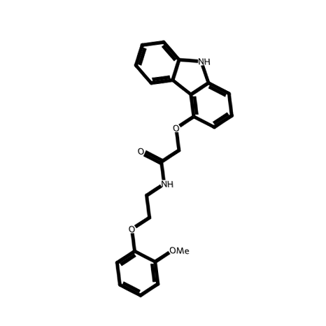 COc1ccccc1OCCNC(=O)COc1cccc2[nH]c3ccccc3c12